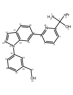 CCCC(N)(O)c1cccc(-c2ccc3cnn(-c4cccc(CO)c4)c3c2)n1